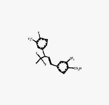 CC(F)(F)C(C=Cc1ccc(C(=O)O)c(C(F)(F)F)c1)c1ccc(F)c(C(F)(F)F)c1